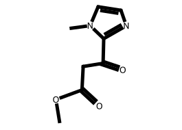 COC(=O)CC(=O)c1nccn1C